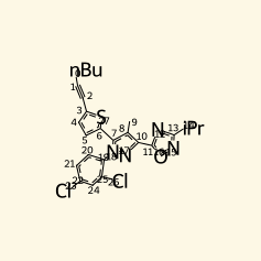 CCCCC#Cc1ccc(-c2c(C)c(-c3nc(C(C)C)no3)nn2-c2ccc(Cl)cc2Cl)s1